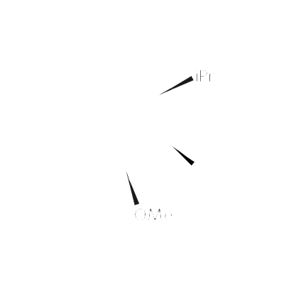 CO[C@H]1CCC[C@@H](C(C)C)[C@H]1C